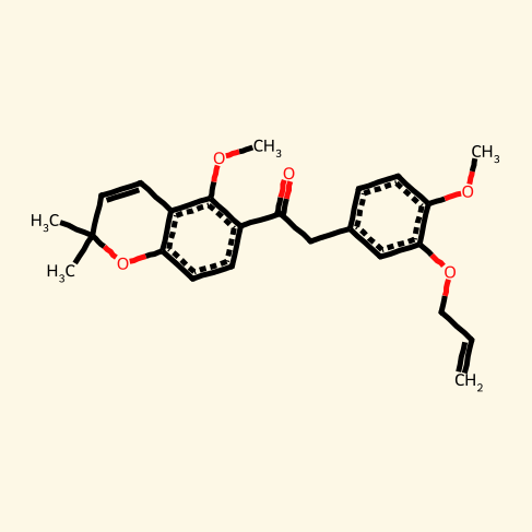 C=CCOc1cc(CC(=O)c2ccc3c(c2OC)C=CC(C)(C)O3)ccc1OC